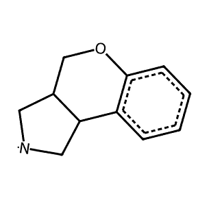 c1ccc2c(c1)OCC1C[N]CC21